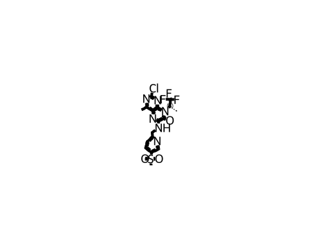 Cc1nc(Cl)nc2c1nc(NCc1ccc(S(C)(=O)=O)cn1)c(=O)n2[C@@H](C)C(F)(F)F